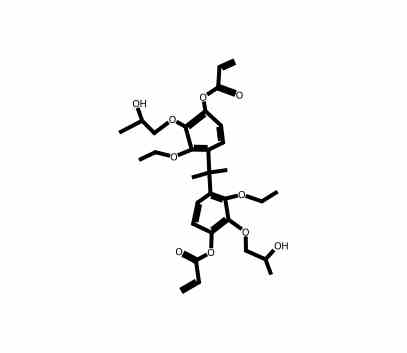 C=CC(=O)Oc1ccc(C(C)(C)c2ccc(OC(=O)C=C)c(OCC(C)O)c2OCC)c(OCC)c1OCC(C)O